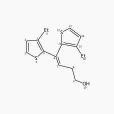 CCc1ccsc1C(=CCCO)c1sccc1CC